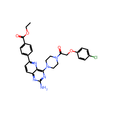 CCOC(=O)c1ccc(-c2ccc3nc(N)nc(N4CCN(C(=O)COc5ccc(Cl)cc5)CC4)c3n2)cc1